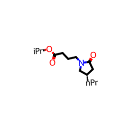 CCC[C@@H]1CC(=O)N(CCCC(=O)OC(C)C)C1